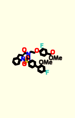 COC(=O)c1ccc(OCCNC(=O)[C@@H]2Cc3ccccc3N2S(=O)(=O)c2ccc(-c3ccc(F)cc3OC)cc2)c(F)c1